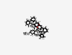 CC(C)(C)C1=CC(=NO[Si](c2ccccc2)(c2ccccc2)c2ccccc2)C(=NO[Si](c2ccccc2)(c2ccccc2)c2ccccc2)C(C(C)(C)C)=C1